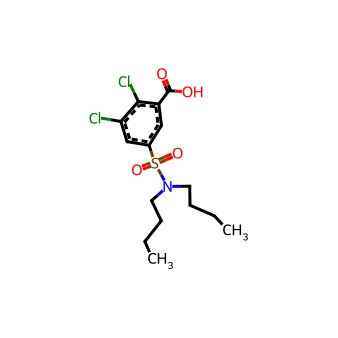 CCCCN(CCCC)S(=O)(=O)c1cc(Cl)c(Cl)c(C(=O)O)c1